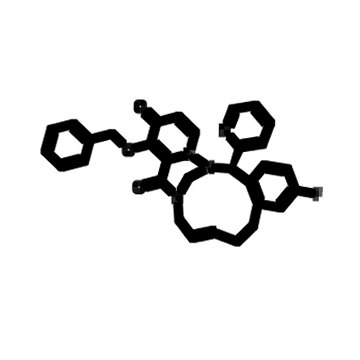 O=C1c2c(OCc3ccccc3)c(=O)ccn2N2CN1C/C=C/CCc1cc(F)ccc1[C@@H]2c1ccccn1